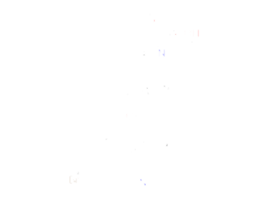 Nc1cc(Br)cc(COCC2(c3ccccc3)CCN(C(=O)O)CC2)c1